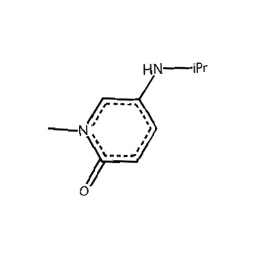 CC(C)Nc1ccc(=O)n(C)c1